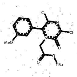 CCCCOC(=O)Cn1c(-c2cccc(OC)c2)c(Cl)nc(Cl)c1=O